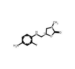 CN1C[C@H](CNc2ccc(N)cc2F)OC1=O